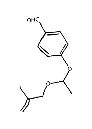 C=C(C)COC(C)Oc1ccc(C=O)cc1